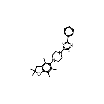 Cc1c(C)c(N2CCN(c3nc(-c4ccccc4)ns3)CC2)c(C)c2c1OC(C)(C)C2